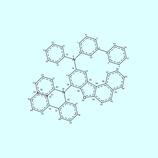 c1ccc(-c2cccc(N(c3ccccc3)c3cc(N(c4ccccc4)c4ccccc4-c4ccccc4)c4oc5ccc6ccccc6c5c4c3)c2)cc1